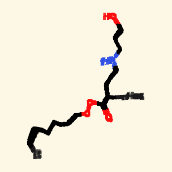 CC/C=C\CCCCOOC(=O)C(CCCCCC)CCNCCCO